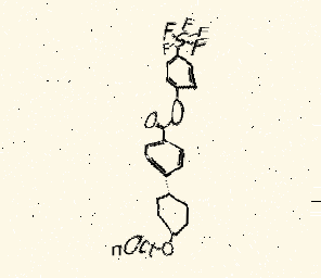 CCCCCCCCO[C@H]1CC[C@H](c2ccc(C(=O)Oc3ccc(S(F)(F)(F)(F)F)cc3)cc2)CC1